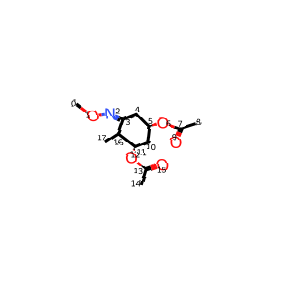 CO/N=C1/C[C@@H](OC(C)=O)C[C@H](OC(C)=O)C1C